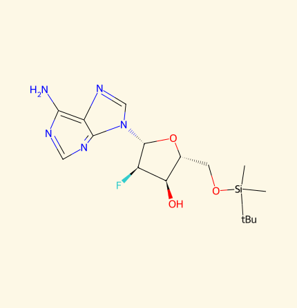 CC(C)(C)[Si](C)(C)OC[C@H]1O[C@@H](n2cnc3c(N)ncnc32)[C@H](F)[C@@H]1O